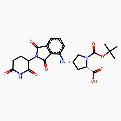 CC(C)(C)OC(=O)N1C[C@@H](Nc2cccc3c2C(=O)N(C2CCC(=O)NC2=O)C3=O)C[C@H]1C(=O)O